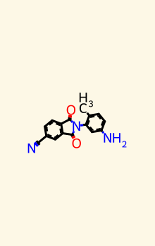 Cc1ccc(N)cc1N1C(=O)c2ccc(C#N)cc2C1=O